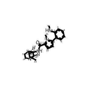 CNc1ccccc1-c1ccc(C(=O)N[C@@H]2C3CCN(CC3)[C@H]2C)n1C